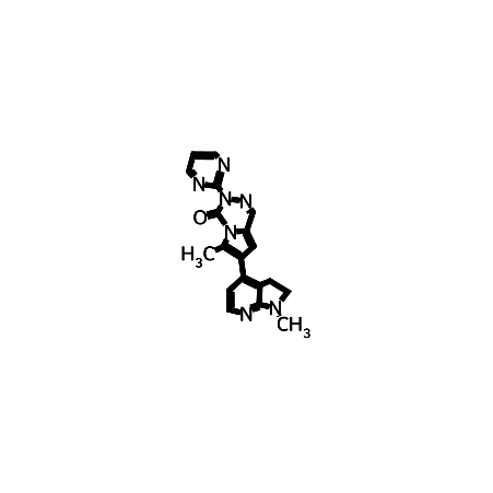 Cc1c(-c2ccnc3c2CCN3C)cc2cnn(-c3ncccn3)c(=O)n12